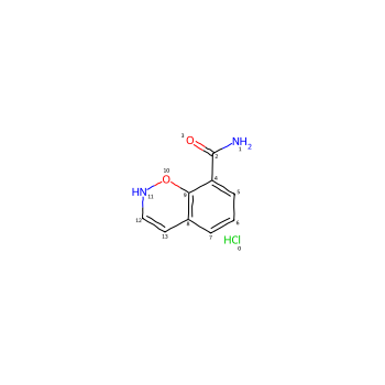 Cl.NC(=O)c1cccc2c1ONC=C2